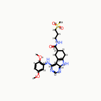 COc1ccc(OC)c(Nc2ncnc3[nH]c4c(c23)CC(C(=O)NCCCS(C)(=O)=O)CC4)c1